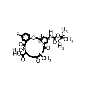 CN1CC(=O)N2C[C@H](NC(=O)OC(C)(C)C)C[C@H]2COc2ccc(F)cc2C(=O)N(C)C(C(=O)O)CCC1=O